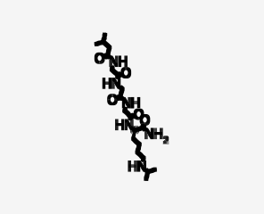 CC(C)CC(=O)NCC(=O)NCC(=O)NCC(=O)N[C@H](CCCCNC(C)C)C(N)=O